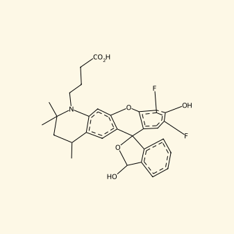 CC1CC(C)(C)N(CCCC(=O)O)c2cc3c(cc21)C1(OC(O)c2ccccc21)c1cc(F)c(O)c(F)c1O3